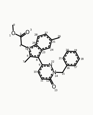 COC(=O)Cn1c(C)c(-c2ccc(=O)n(Cc3ccccc3)n2)c2cc(C)ccc21